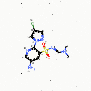 CN(C)/C=N/S(=O)(=O)c1cc(N)cnc1-n1cc(Cl)cn1